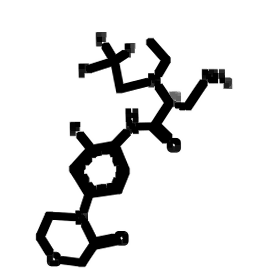 CCN(CC(F)(F)F)[C@H](CN)C(=O)Nc1ccc(N2CCOCC2=O)cc1F